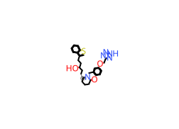 O=C1CCC[C@H](CCC(O)CCc2csc3ccccc23)N1Cc1cccc(OCc2nn[nH]n2)c1